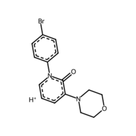 O=c1c(N2CCOCC2)cccn1-c1ccc(Br)cc1.[H+]